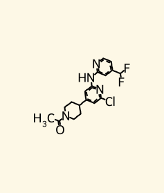 CC(=O)N1CCC(c2cc(Cl)nc(Nc3cc(C(F)F)ccn3)c2)CC1